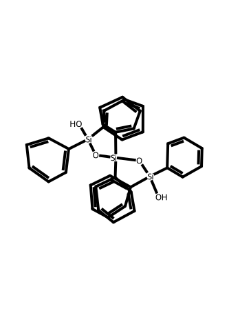 O[Si](O[Si](O[Si](O)(c1ccccc1)c1ccccc1)(c1ccccc1)c1ccccc1)(c1ccccc1)c1ccccc1